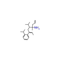 C=CCC(C)(N)C(C/C(=C/C)c1ccccc1C(C)C)C(C)C